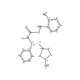 CN(C(=O)CNc1ccccc1C#N)[C@H](CN1CCC(O)C1)c1ccccc1